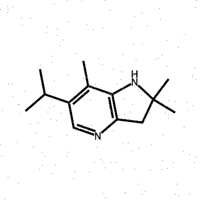 Cc1c(C(C)C)cnc2c1NC(C)(C)C2